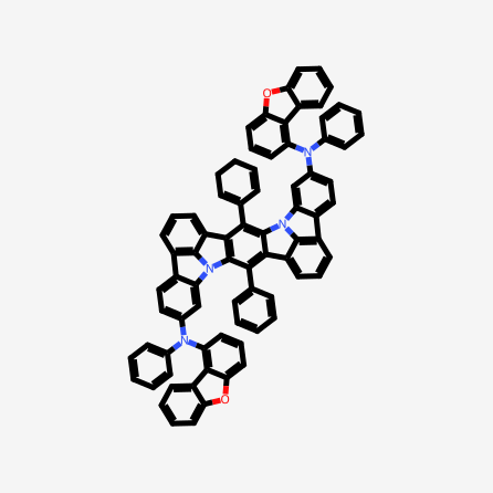 C1=CC(c2c3c4cccc5c6ccc(N(c7ccccc7)c7cccc8oc9ccccc9c78)cc6n(c3c(-c3ccccc3)c3c6cccc7c8ccc(N(c9ccccc9)c9cccc%10oc%11ccccc%11c9%10)cc8n(c23)c76)c54)=CCC1